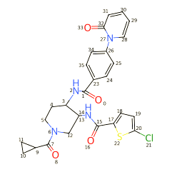 O=C(NC1CCN(C(=O)C2CC2)CC1NC(=O)c1ccc(Cl)s1)c1ccc(-n2ccccc2=O)cc1